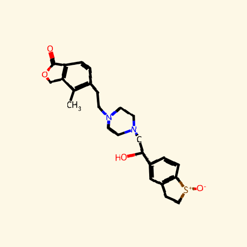 Cc1c(CCN2CCN(CC(O)c3ccc4c(c3)CC[S+]4[O-])CC2)ccc2c1COC2=O